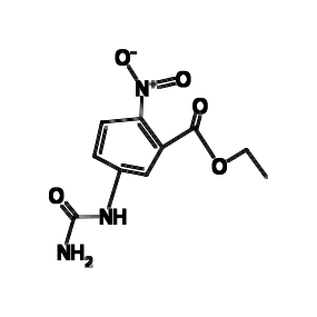 CCOC(=O)c1cc(NC(N)=O)ccc1[N+](=O)[O-]